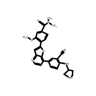 COc1cc(C(=O)N(C)C)ccc1-c1cc2nccc(-c3ccc(NC4CCNC4)c(C#N)c3)c2o1